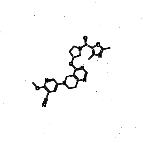 COc1ncc(N2CCc3ncnc(OC4CCN(C(=O)c5oc(C)nc5C)C4)c3C2)cc1C#N